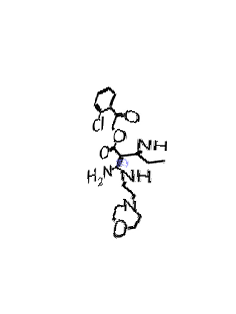 CCC(=N)/C(C(=O)OCC(=O)c1ccccc1Cl)=C(/N)NCCN1CCOCC1